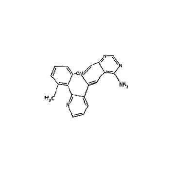 Cc1cccc(O)c1-c1ncccc1-c1ccc2ncnc(N)c2c1